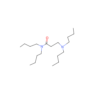 CCCCN(CCCC)CCC(=O)N(CCCC)CCCC